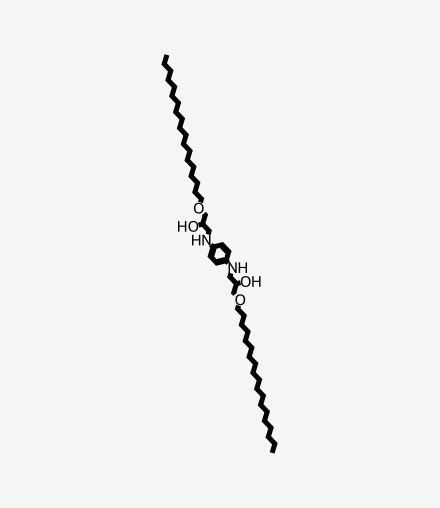 CCCCCCCCCCCCCCCCCCCOCC(O)CNc1ccc(NCC(O)COCCCCCCCCCCCCCCCCCCC)cc1